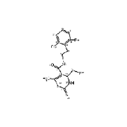 CC1=C(C(=O)OCCc2c(F)cccc2Cl)C(CF)NC(=S)N1